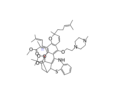 COC(=O)/C(C)=C\CC12OC(C)(C)C3CC(C1=O)C1Sc4ccccc4NC4=C1C32Oc1c(CC=C(C)C)c2c(c(OCCN3CCN(C)CC3)c14)C=CC(C)(CCC=C(C)C)O2